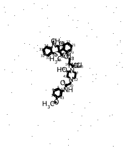 COc1cccc(NC(=O)CN2CCN(CCCOc3ccccc3C3(C(C)C)Sc4ccccc4N(C)C3=O)C(O)C2)c1.Cl.Cl